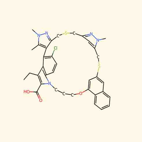 CCc1c(C(=O)O)n2c3ccc(Cl)c(c13)-c1c(nn(C)c1C)CSCc1cc(n(C)n1)CSc1cc(c3ccccc3c1)OCCC2